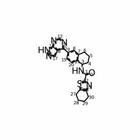 O=C(NC1CCCc2cc(-c3ncnc4[nH]ncc34)ccc21)c1nc2c(s1)CCCC2